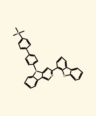 C[Si](C)(C)c1ccc(-c2ccc(-n3c4ccccc4c4cnc(-c5cccc6c5oc5ccccc56)cc43)cc2)cc1